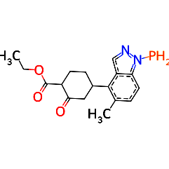 CCOC(=O)C1CCC(c2c(C)ccc3c2cnn3P)CC1=O